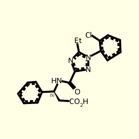 CCc1nc(C(=O)N[C@@H](CC(=O)O)c2ccccc2)nn1-c1ccccc1Cl